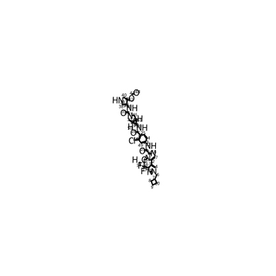 Cn1c(-c2cn(CC3CCC3)nc2C(F)(F)F)cnc1C(=O)Nc1ccc(C(=O)N[C@@H]2[C@@H]3CN(C(=O)N[C@@H]4CNC[C@H]4OC=O)C[C@@H]32)c(Cl)c1